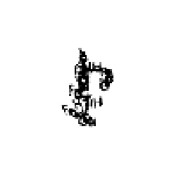 COC1=CCC(C)([C@@H]2CC2(C)NCCCC[C@H](NC(=O)c2ccc(F)cc2)C(=O)N2CCN(Cc3cc(F)ccc3[C@@H]3CC3NCCOC[C@H](NC(=O)c3ccc(F)cc3)C(=O)N3CCN(C)CC3)CC2)C=C1